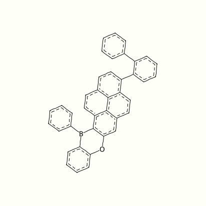 c1ccc(B2c3ccccc3Oc3cc4ccc5c(-c6ccccc6-c6ccccc6)ccc6ccc(c32)c4c65)cc1